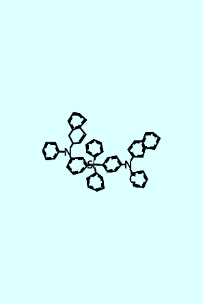 C1=CC(N(c2ccccc2)c2cccc([Si](c3ccccc3)(c3ccccc3)c3ccc(N(c4ccccc4)c4ccc5ccccc5c4)cc3)c2)Cc2ccccc21